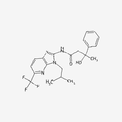 CC(C)Cn1c(NC(=O)CC(C)(O)c2ccccc2)nc2ccc(C(F)(F)F)nc21